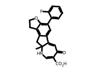 CC12Cc3c(cc(-c4ccccc4F)c4c3CCO4)C1=CC(=O)C(C(=O)O)=CN2